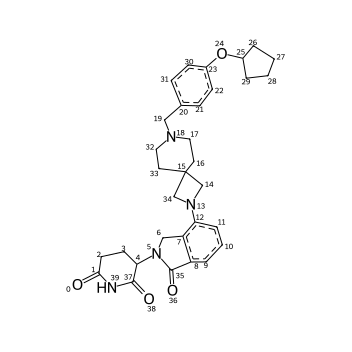 O=C1CCC(N2Cc3c(cccc3N3CC4(CCN(Cc5ccc(OC6CCCC6)cc5)CC4)C3)C2=O)C(=O)N1